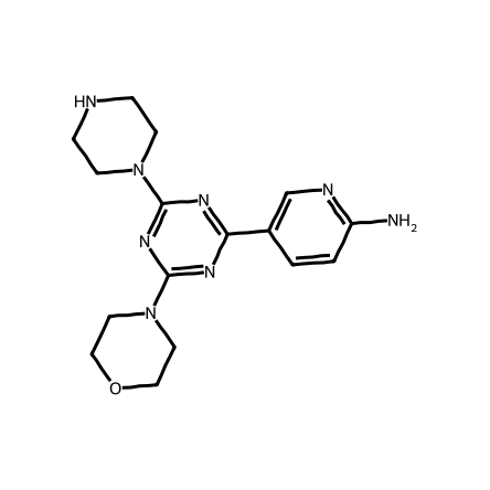 Nc1ccc(-c2nc(N3CCNCC3)nc(N3CCOCC3)n2)cn1